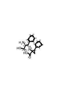 NC1(C(=O)O)CC1c1ccccc1.N[C@@H](Cc1ccccc1)C(=O)O